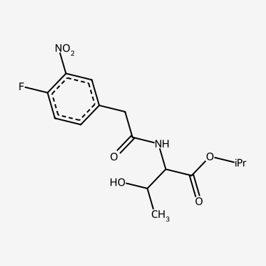 CC(C)OC(=O)C(NC(=O)Cc1ccc(F)c([N+](=O)[O-])c1)C(C)O